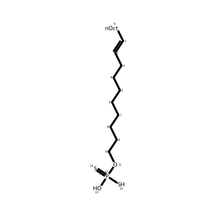 CCCCCCCCC=CCCCCCCCCOP(O)(=S)S